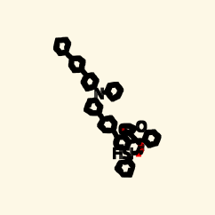 c1ccc(-c2ccc(-c3ccc(N(c4ccccc4)c4cccc(-c5ccc(-c6ccc7c(c6)C6(c8ccccc8Oc8ccccc86)c6ccccc6[SiH]7c6ccccc6)cc5)c4)cc3)cc2)cc1